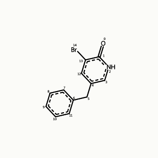 O=c1[nH]cc(Cc2ccccc2)cc1Br